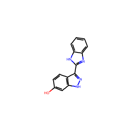 Oc1ccc2c(-c3nc4ccccc4[nH]3)n[nH]c2c1